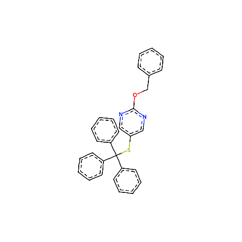 c1ccc(COc2ncc(SC(c3ccccc3)(c3ccccc3)c3ccccc3)cn2)cc1